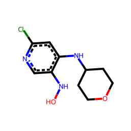 ONc1cnc(Cl)cc1NC1CCOCC1